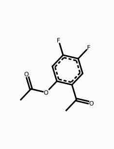 CC(=O)Oc1cc(F)c(F)cc1C(C)=O